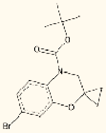 CC(C)(C)OC(=O)N1CC2(CC2)Oc2cc(Br)ccc21